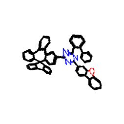 c1ccc(-c2ccccc2-c2nc(-c3ccc4c(c3)-c3ccccc3-c3ccccc3C43c4ccccc4-c4ccccc43)nc(-c3ccc4c(c3)oc3ccccc34)n2)cc1